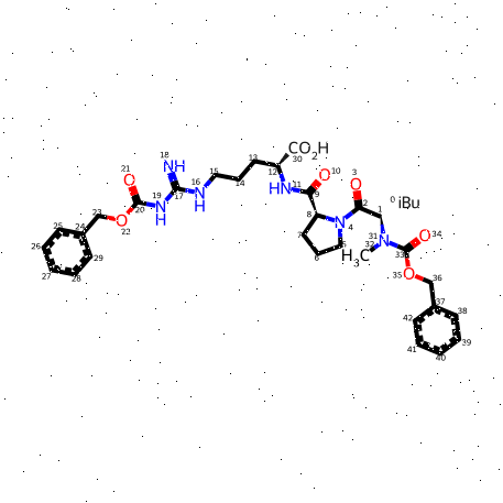 CC[C@H](C)[C@H](C(=O)N1CCC[C@H]1C(=O)N[C@@H](CCCNC(=N)NC(=O)OCc1ccccc1)C(=O)O)N(C)C(=O)OCc1ccccc1